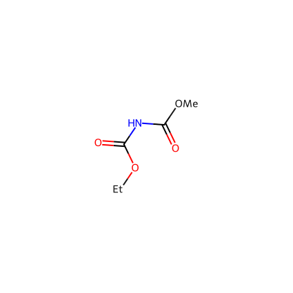 [CH2]OC(=O)NC(=O)OCC